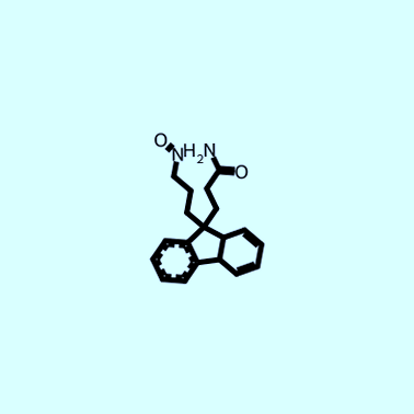 NC(=O)CCC1(CCCN=O)c2ccccc2C2C=CC=CC21